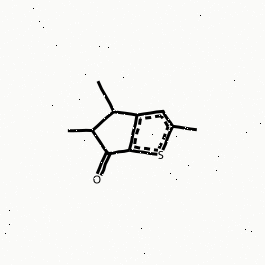 Cc1cc2c(s1)C(=O)C(C)C2C